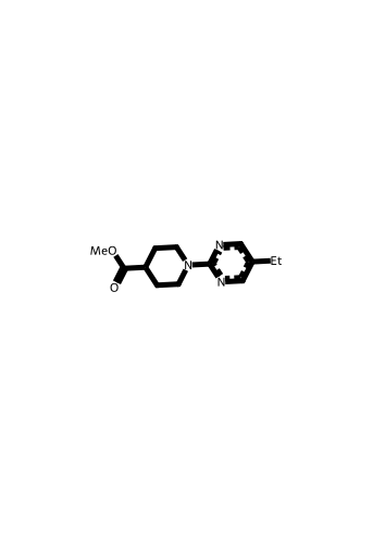 CCc1cnc(N2CCC(C(=O)OC)CC2)nc1